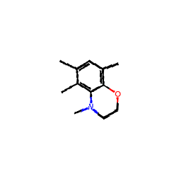 Cc1cc(C)c2c(c1C)N(C)CCO2